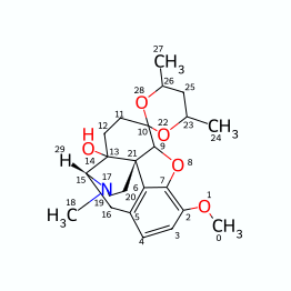 COc1ccc2c3c1OC1C4(CCC5(O)[C@@H](C2)N(C)CC[C@]315)OC(C)CC(C)O4